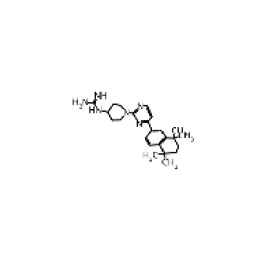 CC1(C)CCC(C)(C)c2cc(-c3ccnc(N4CCC(NC(=N)N)CC4)n3)ccc21